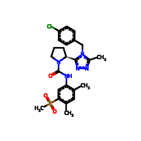 Cc1cc(C)c(S(C)(=O)=O)cc1NC(=O)N1CCC[C@@H]1c1nnc(C)n1Cc1ccc(Cl)cc1